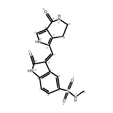 CNS(=O)(=O)c1ccc2c(c1)/C(=C/c1[nH]cc3c1CCNC3=O)C(=O)N2